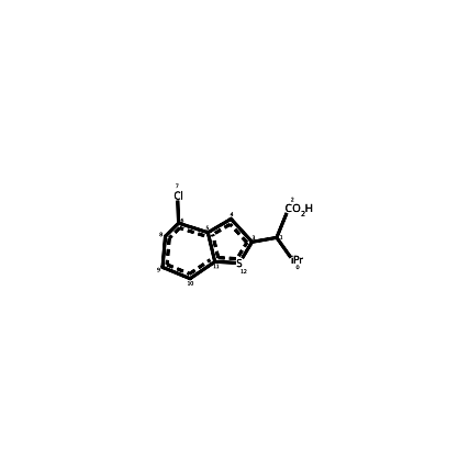 CC(C)C(C(=O)O)c1cc2c(Cl)cccc2s1